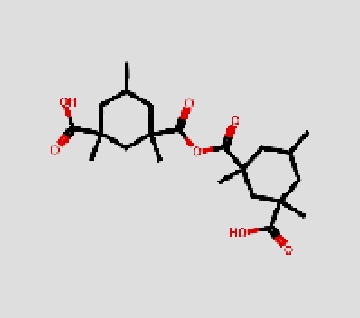 CC1CC(C)(C(=O)O)CC(C)(C(=O)OC(=O)C2(C)CC(C)CC(C)(C(=O)O)C2)C1